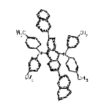 CC1=CCC(N(c2ccc(C)cc2)c2c3ccc(-c4ccc5ccccc5c4)cc3c(N(c3ccc(C)cc3)C3C=CC(C)=CC3)c3ccc(-c4ccc5ccccc5c4)cc23)C=C1